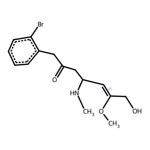 CNC(/C=C(/CO)OC)CC(=O)Cc1ccccc1Br